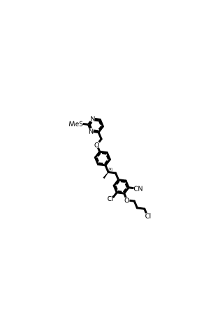 CSc1nccc(COc2ccc([C@H](C)Cc3cc(Cl)c(OCCCCl)c(C#N)c3)cc2)n1